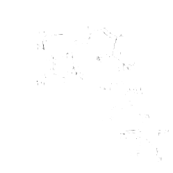 O=C(Nc1cccc(-c2ccnc3c(Br)cnn23)c1)Nc1cccc(C(F)(F)F)c1